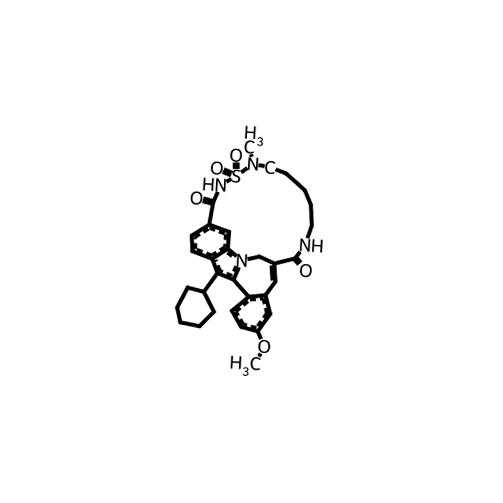 COc1ccc2c(c1)C=C1Cn3c-2c(C2CCCCC2)c2ccc(cc23)C(=O)NS(=O)(=O)N(C)CCCCCNC1=O